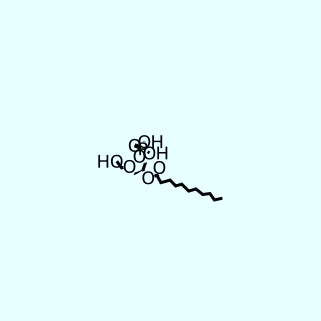 CCCCCCCCCCC(=O)O[C@@H](COCO)COP(=O)(O)O